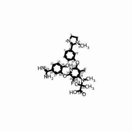 CN1CCN=C1c1cccc(Oc2nc(Oc3cc(C(=N)N)ccc3O)c(F)c(N(C)C(C)(C)C(=O)O)c2F)c1